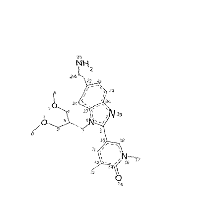 COCC(COC)Cn1c(-c2cc(C)c(=O)n(C)c2)nc2ccc(CN)cc21